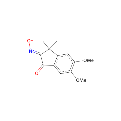 COc1cc2c(cc1OC)C(C)(C)C(=NO)C2=O